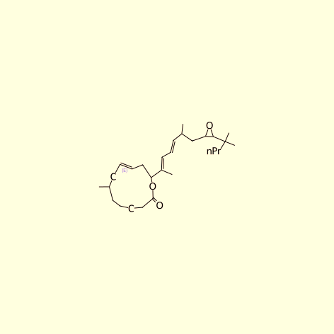 CCCC(C)(C)C1OC1CC(C)C=CC=C(C)C1C/C=C/CC(C)CCCCC(=O)O1